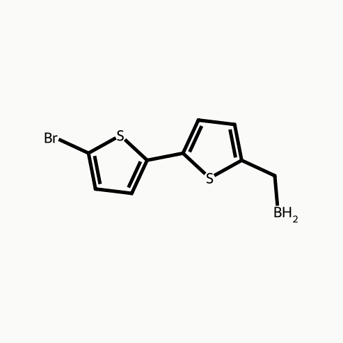 BCc1ccc(-c2ccc(Br)s2)s1